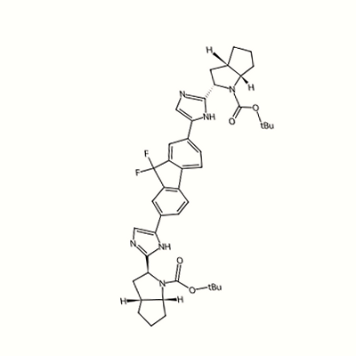 CC(C)(C)OC(=O)N1[C@@H]2CCC[C@@H]2C[C@H]1c1ncc(-c2ccc3c(c2)C(F)(F)c2cc(-c4cnc([C@@H]5C[C@@H]6CCC[C@@H]6N5C(=O)OC(C)(C)C)[nH]4)ccc2-3)[nH]1